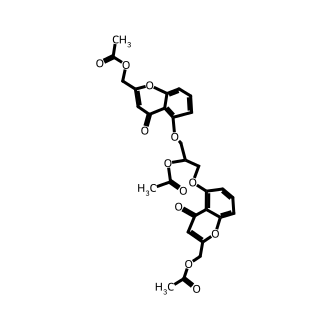 CC(=O)OCc1cc(=O)c2c(OCC(COc3cccc4oc(COC(C)=O)cc(=O)c34)OC(C)=O)cccc2o1